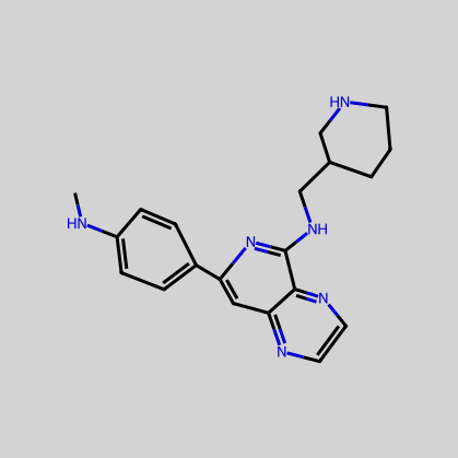 CNc1ccc(-c2cc3nccnc3c(NCC3CCCNC3)n2)cc1